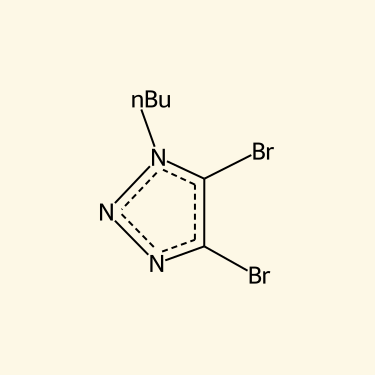 CCCCn1nnc(Br)c1Br